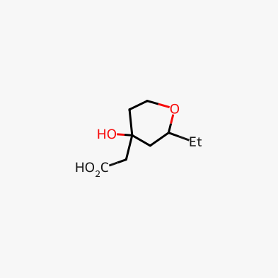 CCC1CC(O)(CC(=O)O)CCO1